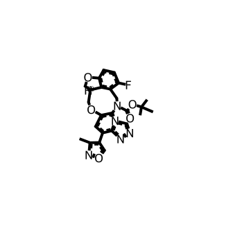 Cc1nocc1-c1cc2c(n3cnnc13)N(C(=O)OC(C)(C)C)Cc1c(F)ccc3c1[C@H](CO3)CO2